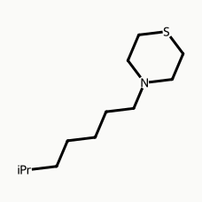 CC(C)CCCCCN1CCSCC1